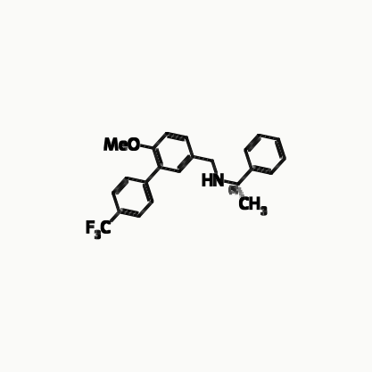 COc1ccc(CN[C@@H](C)c2ccccc2)cc1-c1ccc(C(F)(F)F)cc1